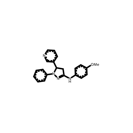 COc1ccc(NC2=NN(c3ccccc3)C(c3cccnc3)C2)cc1